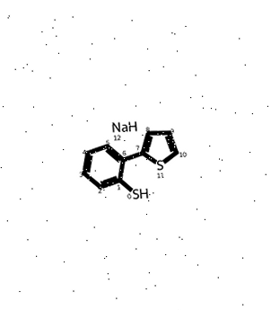 Sc1ccccc1-c1cccs1.[NaH]